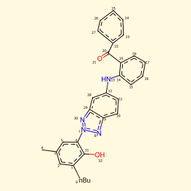 CCCCc1cc(C)cc(-n2nc3ccc(Nc4ccccc4C(=O)c4ccccc4)cc3n2)c1O